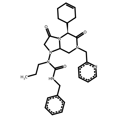 CCCN(C(=O)NCc1ccccc1)N1CC(=O)N2C1CN(Cc1ccccn1)C(=O)[C@@H]2C1CC=CCC1